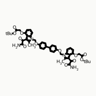 Cc1c(C(=O)C(N)=O)c2c(OCC(=O)OC(C)(C)C)cccc2n1COc1ccc(-c2ccc(OCn3c(C)c(C(=O)C(N)=O)c4c(OCC(=O)OC(C)(C)C)cccc43)cc2)cc1